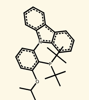 CC(C)Oc1cccc(-n2c3ccccc3c3ccccc32)c1P(C(C)(C)C)C(C)(C)C